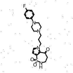 O=C1CCNS(=O)(=O)c2ccn(CCCN3CCN(c4ccc(F)cc4)CC3)c21